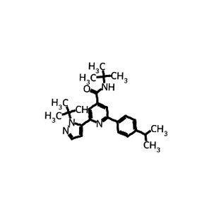 CC(C)c1ccc(-c2cc(C(=O)NC(C)(C)C)cc(-c3ccnn3C(C)(C)C)n2)cc1